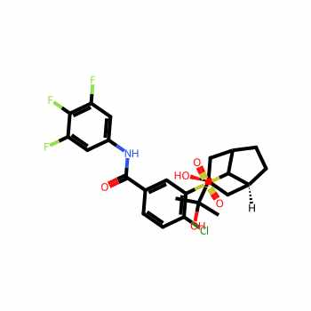 CC(C)(O)[C@]1(O)CC2CC[C@@H](C1)C2S(=O)(=O)c1cc(C(=O)Nc2cc(F)c(F)c(F)c2)ccc1Cl